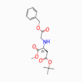 COC(=O)[C@H](CC(=O)OC(C)(C)C)NCC(=O)OCc1ccccc1